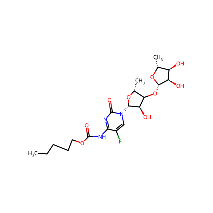 CCCCCOC(=O)Nc1nc(=O)n([C@@H]2O[C@H](C)C(O[C@@H]3O[C@H](C)[C@@H](O)[C@H]3O)[C@H]2O)cc1F